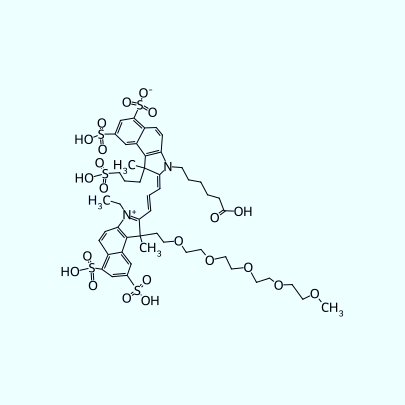 CC[N+]1=C(/C=C/C=C2/N(CCCCCC(=O)O)c3ccc4c(S(=O)(=O)[O-])cc(S(=O)(=O)O)cc4c3C2(C)CCCS(=O)(=O)O)C(C)(CCOCCOCCOCCOCCOC)c2c1ccc1c(S(=O)(=O)O)cc(S(=O)(=O)O)cc21